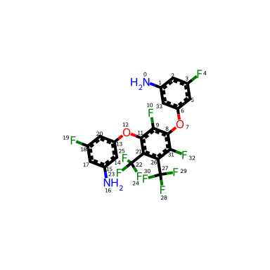 Nc1cc(F)cc(Oc2c(F)c(Oc3cc(N)cc(F)c3)c(C(F)(F)F)c(C(F)(F)F)c2F)c1